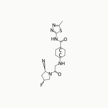 Cc1nnc(NC(=O)C23CCC(NCC(=O)N4C[C@@H](F)C[C@H]4C#N)(CC2)CC3)s1